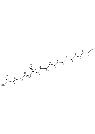 CCCCCCCCCCCCCCC(=O)OCCCCC(C)C